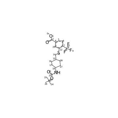 COC(=O)c1ccc(C(F)(F)F)c(SCC2CCC(NC(=O)OC(C)(C)C)CC2)c1